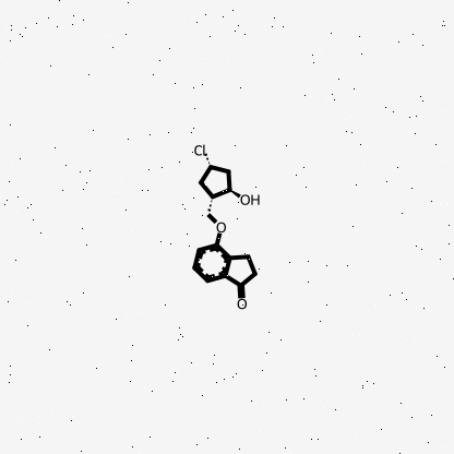 O=C1CCc2c(OC[C@@H]3C[C@H](Cl)C[C@H]3O)cccc21